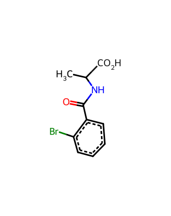 CC(NC(=O)c1ccccc1Br)C(=O)O